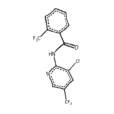 O=C(Nc1ncc(C(F)(F)F)cc1Cl)c1ccccc1C(F)(F)F